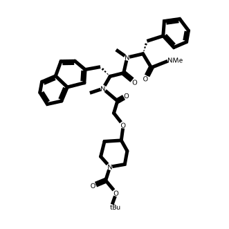 CNC(=O)[C@@H](Cc1ccccc1)N(C)C(=O)[C@@H](Cc1ccc2ccccc2c1)N(C)C(=O)COC1CCN(C(=O)OC(C)(C)C)CC1